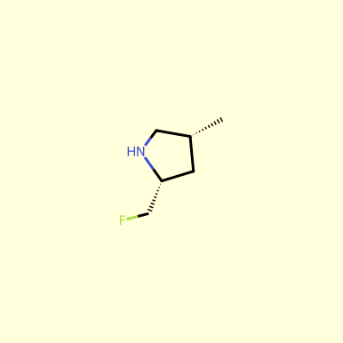 C[C@H]1CN[C@@H](CF)C1